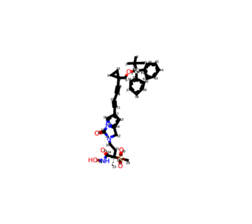 CC(C)(C)[Si](OCC1(C#CC#Cc2cc3n(c2)C(=O)N(CC[C@](C)(C(=O)NO)S(C)(=O)=O)C3)CC1)(c1ccccc1)c1ccccc1